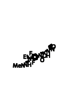 CCN(CCNNC)c1c(F)cc(N2C[C@H](CNc3ccon3)OC2=O)cc1F